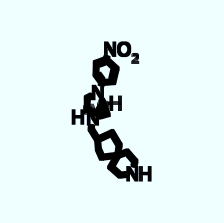 O=[N+]([O-])c1ccc(N2C[C@H]3C[C@@H]2CN3CC2CCC3(CCNCC3)CC2)cc1